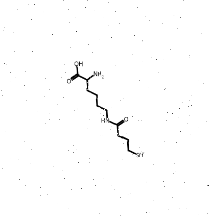 NC(CCCCNC(=O)CCCS)C(=O)O